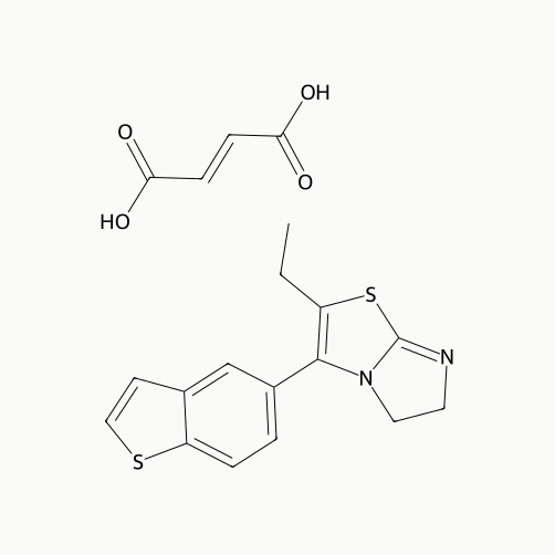 CCC1=C(c2ccc3sccc3c2)N2CCN=C2S1.O=C(O)C=CC(=O)O